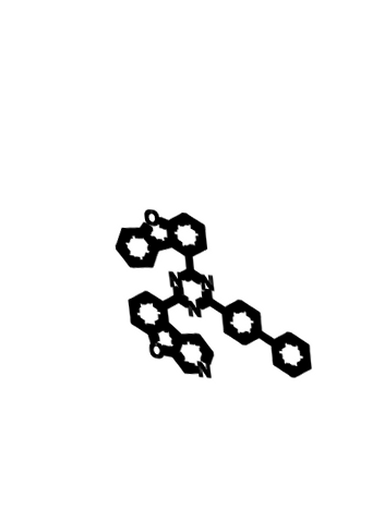 c1ccc(-c2ccc(-c3nc(-c4cccc5oc6ccccc6c45)nc(-c4cccc5oc6cnccc6c45)n3)cc2)cc1